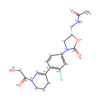 CC(=O)NC[C@H]1CN(c2ccc(C3=CN(C(=O)CO)CCC3)c(F)c2)C(=O)O1